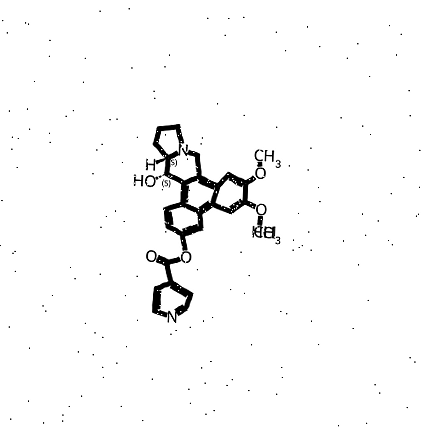 COc1cc2c3c(c4ccc(OC(=O)c5ccncc5)cc4c2cc1OC)[C@H](O)[C@@H]1CCCN1C3.Cl